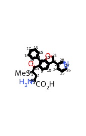 CSC(C[C@H](N)C(=O)O)C(=O)c1ccc2c(c1-c1ccccc1)OCC2c1cccnc1